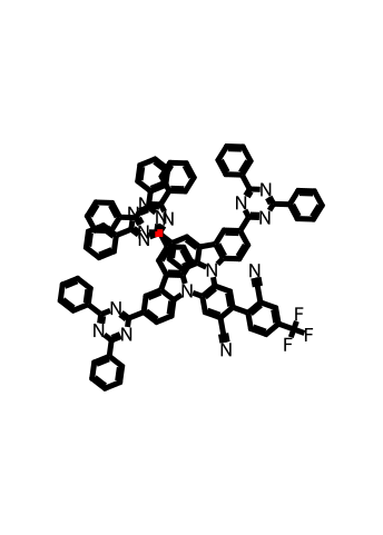 N#Cc1cc(C(F)(F)F)ccc1-c1cc(-n2c3ccc(-c4nc(-c5ccccc5)nc(-c5ccccc5)n4)cc3c3cc(-c4nc(-c5ccccc5)nc(-c5ccccc5)n4)ccc32)c(-n2c3ccc(-c4nc(-c5ccccc5)nc(-c5ccccc5)n4)cc3c3cc(-c4nc(-c5ccccc5)nc(-c5ccccc5)n4)ccc32)cc1C#N